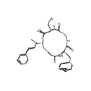 CC(C)CC1NC(=O)CCNC(=O)[C@@H](Cc2ccccc2)NC(=O)/C=C/C[C@@H](C(C)/C=C/c2ccccc2)OC1=O